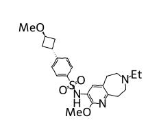 CCN1CCc2cc(NS(=O)(=O)c3ccc([C@H]4C[C@H](OC)C4)cc3)c(OC)nc2CC1